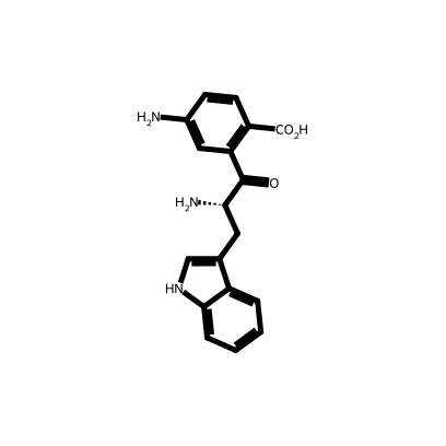 Nc1ccc(C(=O)O)c(C(=O)[C@@H](N)Cc2c[nH]c3ccccc23)c1